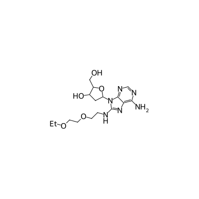 CCOCCOCCNc1nc2c(N)ncnc2n1C1CC(O)C(CO)O1